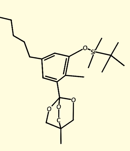 CCCCCc1cc(O[Si](C)(C)C(C)(C)C)c(C)c(C23OCC(C)(CO2)CO3)c1